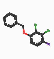 Brc1c(I)ccc(OCc2ccccc2)c1Br